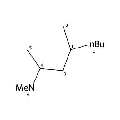 CCCCC(C)CC(C)NC